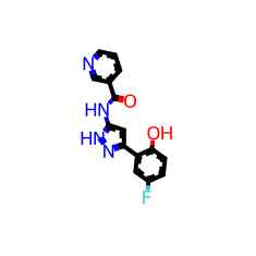 O=C(Nc1cc(-c2cc(F)ccc2O)n[nH]1)c1cccnc1